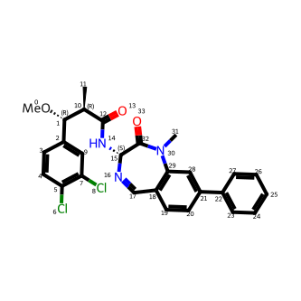 CO[C@@H](c1ccc(Cl)c(Cl)c1)[C@@H](C)C(=O)N[C@H]1N=Cc2ccc(-c3ccccc3)cc2N(C)C1=O